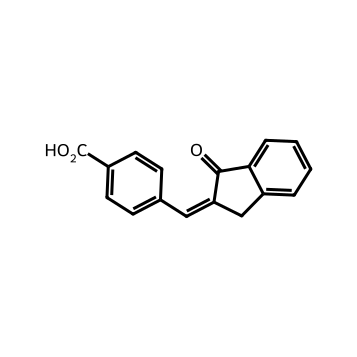 O=C(O)c1ccc(C=C2Cc3ccccc3C2=O)cc1